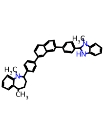 CC1CCC(c2ccc(-c3ccc4ccc(-c5ccc(C6Nc7ccccc7N6C)cc5)cc4c3)cc2)N(C)c2ccccc21